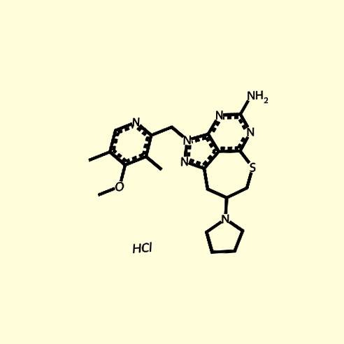 COc1c(C)cnc(Cn2nc3c4c(nc(N)nc42)SCC(N2CCCC2)C3)c1C.Cl